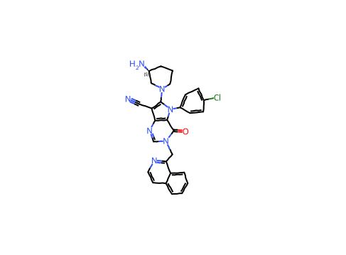 N#Cc1c(N2CCC[C@H](N)C2)n(-c2ccc(Cl)cc2)c2c(=O)n(Cc3nccc4ccccc34)cnc12